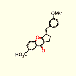 COc1cccc(C=C2CCc3c2oc2ccc(C(=O)O)cc2c3=O)c1